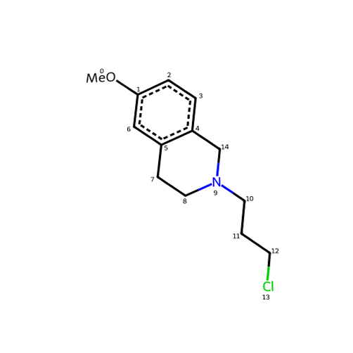 COc1ccc2c(c1)CCN(CCCCl)C2